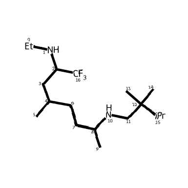 CCNC(CC(C)CCC(C)NCC(C)(C)C(C)C)C(F)(F)F